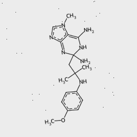 COc1ccc(NC(C)(C)CC2(N)N=c3ncn(C)c3=C(N)N2)cc1